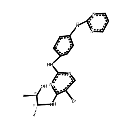 C[C@@H](O)[C@@H](C)Nc1nc(Nc2ccc(Nc3ncccn3)cc2)ncc1Br